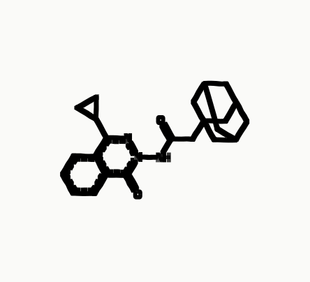 O=C(CC12CC3CC(CC(C3)C1)C2)Nn1nc(C2CC2)c2ccccc2c1=O